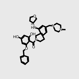 CN1CCN(Cc2cc3c(c(N[C@@H]4CCOC4)c2)CN(C(=O)c2c(O)cc(O)cc2OCc2ccccc2)CC3)CC1